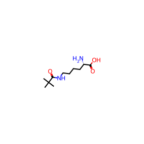 CC(C)(C)C(=O)NCCCC[C@H](N)C(=O)O